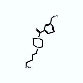 CCCCCCCCCCCCCCN1CCN(C(=O)c2cccc(CC#N)c2)CC1